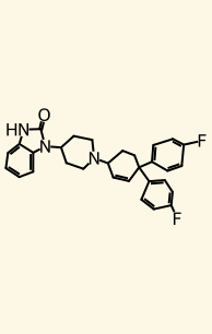 O=c1[nH]c2ccccc2n1C1CCN(C2C=CC(c3ccc(F)cc3)(c3ccc(F)cc3)CC2)CC1